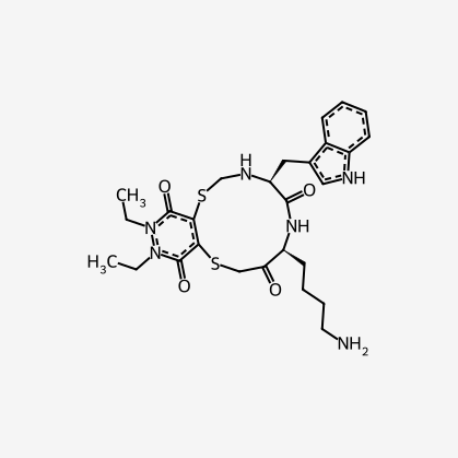 CCn1c(=O)c2c(c(=O)n1CC)SCC(=O)[C@H](CCCCN)NC(=O)[C@H](Cc1c[nH]c3ccccc13)NCS2